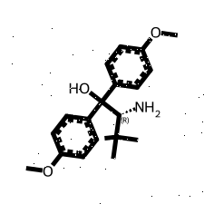 COc1ccc(C(O)(c2ccc(OC)cc2)[C@H](N)C(C)(C)C)cc1